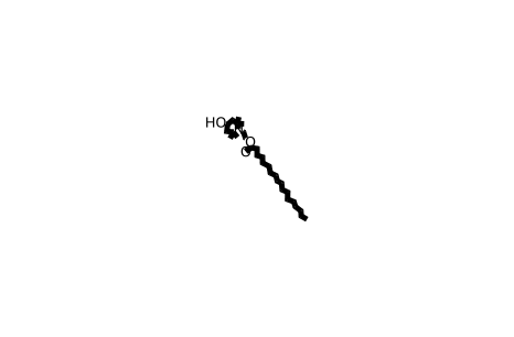 CCCCCCCCCCCCCCCCCC(=O)OCCN1C(C)(C)CC(O)CC1(C)C